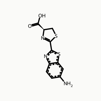 Nc1ccc2nc(C3=N[C@@H](C(=O)O)CS3)sc2c1